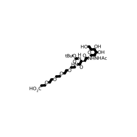 CC(=O)NC1C(NC(=O)C[C@H](NC(=O)OC(C)(C)C)C(=O)NCCOCCOCCOCCOCCC(=O)O)OC(CO)C(O)C1O